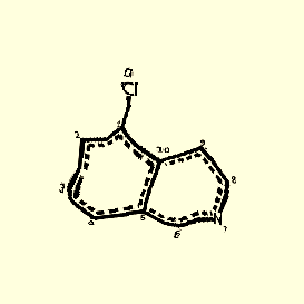 Clc1cccc2cnc[c]c12